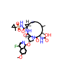 COc1ccc2c(O[C@@H]3C[C@H]4C(=O)N[C@]5(C(=O)NS(=O)(=O)C6(C)CC6)C[C@H]5/C=C\CC[C@@H](C)C[C@@H](C)[C@H](NC(=O)O)C(=O)N4C3)ncc(F)c2c1